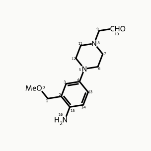 COCc1cc(N2CCN(CC=O)CC2)ccc1N